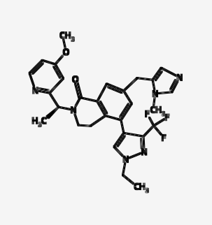 CCn1cc(-c2cc(Cc3cncn3C)cc3c2CCN([C@@H](C)c2cc(OC)ccn2)C3=O)c(C(F)(F)F)n1